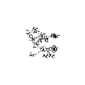 CC(=O)CCCCCN1/C(=C/C=C2\CC(C)(C)CC(/C=C/C3=[N+](CCCCCC(C)=O)c4cc5c(cc4C3(C)C)-c3ccc(C)cc3C5(CCC(C)=O)CCC(C)=O)=C2OCCN(C)C(=O)CCC(=O)NCCCN=[N+]=[N-])C(C)(C)c2cc3c(cc21)C(CCC(C)=O)(CCC(C)=O)c1cc(S(=O)(=O)[O-])ccc1-3